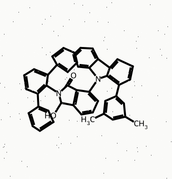 Cc1cc(C)cc(-c2cccc3c4ccccc4n(-c4cccc5c4C(=O)N(c4c(-c6ccccc6)cccc4-c4ccccc4)C5O)c23)c1